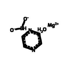 O.[Mg+2].[O-]B[O-].c1cnccn1